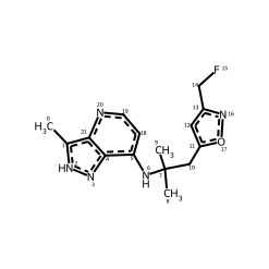 Cc1[nH]nc2c(NC(C)(C)Cc3cc(CF)no3)ccnc12